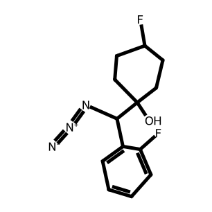 [N-]=[N+]=NC(c1ccccc1F)C1(O)CCC(F)CC1